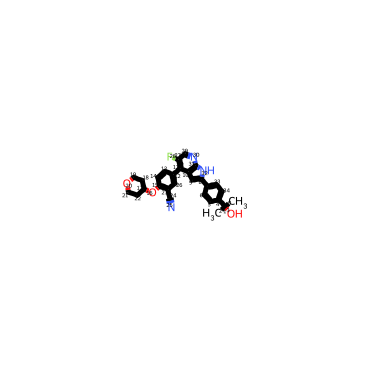 CC(C)(O)c1ccc(-c2cc3c(-c4ccc(OC5CCOCC5)c(C#N)c4)c(F)cnc3[nH]2)cc1